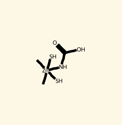 [CH3][Zn]([CH3])([SH])([SH])[NH]C(=O)O